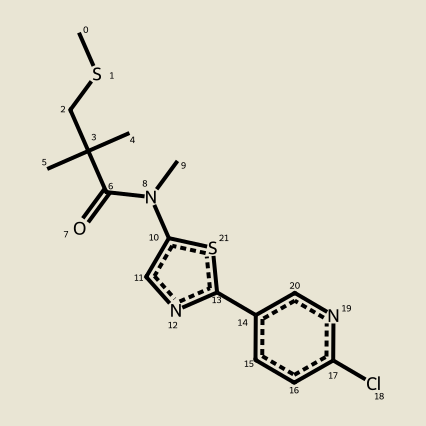 CSCC(C)(C)C(=O)N(C)c1cnc(-c2ccc(Cl)nc2)s1